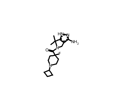 CC1(C)c2[nH]nc(N)c2CN1C(=O)C1(F)CCN(C2CCC2)CC1